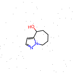 OC1CCCCn2nccc21